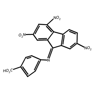 O=C(O)c1ccc(N=C2c3cc([N+](=O)[O-])ccc3-c3c2cc([N+](=O)[O-])cc3[N+](=O)[O-])cc1